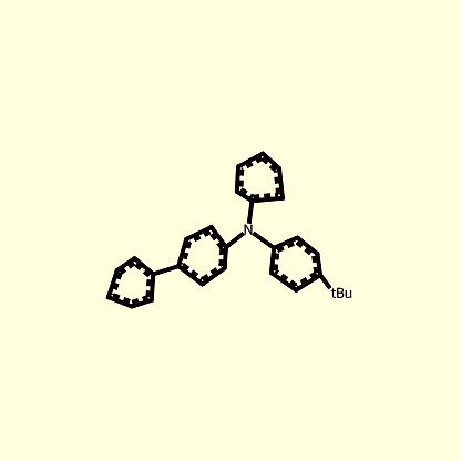 CC(C)(C)c1ccc(N(c2ccccc2)c2ccc(-c3ccccc3)cc2)cc1